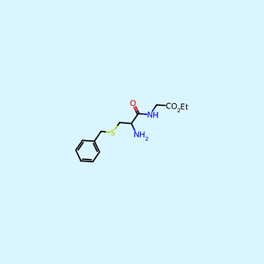 CCOC(=O)CNC(=O)C(N)CSCc1ccccc1